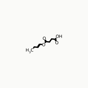 CCC=COC(=O)CCC(=O)O